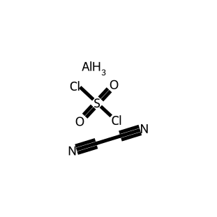 N#CC#N.O=S(=O)(Cl)Cl.[AlH3]